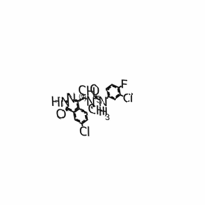 C[C@@H](c1n[nH]c(=O)c2cc(Cl)ccc12)N(C)C(=O)Nc1ccc(F)c(Cl)c1